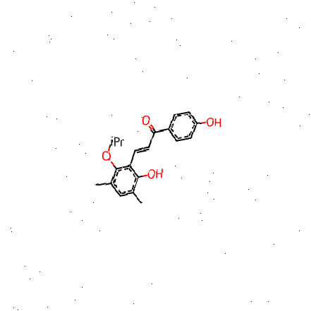 Cc1cc(C)c(OC(C)C)c(C=CC(=O)c2ccc(O)cc2)c1O